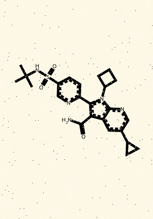 CC(C)(C)NS(=O)(=O)c1ccc(-c2c(C(N)=O)c3cc(C4CC4)cnc3n2C2CCC2)nc1